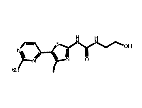 Cc1nc(NC(=O)NCCO)sc1-c1ccnc(C(C)(C)C)n1